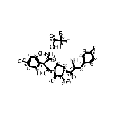 CCCC1C(=O)N(C(C)C(C(N)=O)c2ccc(Cl)cc2Cl)CCN1C(=O)C(N)Cc1ccc(F)cc1.O=C(O)C(F)(F)F